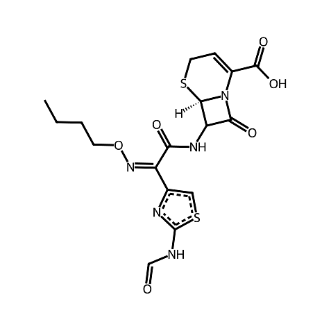 CCCCO/N=C(\C(=O)NC1C(=O)N2C(C(=O)O)=CCS[C@H]12)c1csc(NC=O)n1